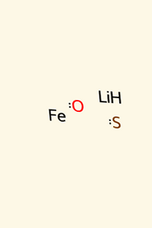 [Fe].[LiH].[O].[S]